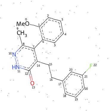 COc1ccccc1-c1c(C)n[nH]c(=O)c1CCc1cccc(F)c1